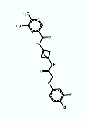 Cc1ncc(C(=O)NC23CC(NC(=O)COc4ccc(Cl)c(F)c4)(C2)C3)nc1C